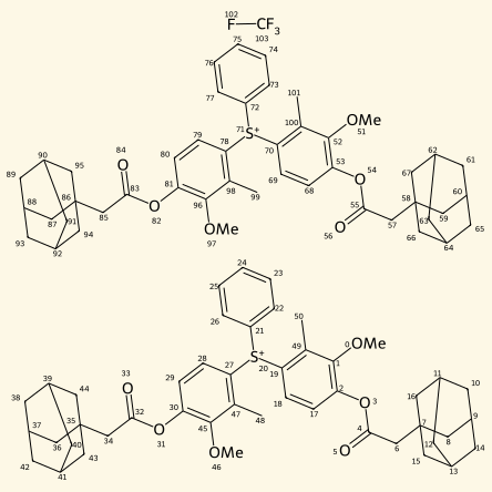 COc1c(OC(=O)CC23CC4CC(CC(C4)C2)C3)ccc([S+](c2ccccc2)c2ccc(OC(=O)CC34CC5CC(CC(C5)C3)C4)c(OC)c2C)c1C.COc1c(OC(=O)CC23CC4CC(CC(C4)C2)C3)ccc([S+](c2ccccc2)c2ccc(OC(=O)CC34CC5CC(CC(C5)C3)C4)c(OC)c2C)c1C.FC(F)(F)F